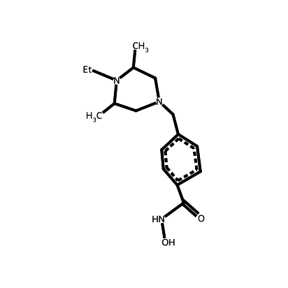 CCN1C(C)CN(Cc2ccc(C(=O)NO)cc2)CC1C